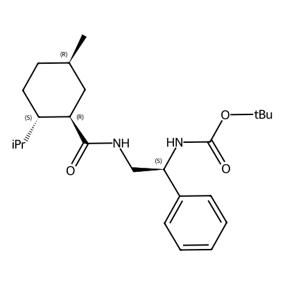 CC(C)[C@@H]1CC[C@@H](C)C[C@H]1C(=O)NC[C@@H](NC(=O)OC(C)(C)C)c1ccccc1